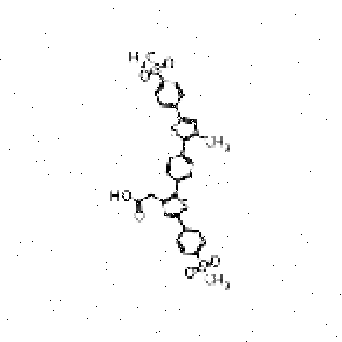 Cc1cc(-c2ccc(S(C)(=O)=O)cc2)sc1-c1ccc(-c2sc(-c3ccc(S(C)(=O)=O)cc3)cc2CC(=O)O)cc1